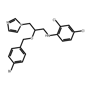 Clc1ccc(NCC(Cn2ccnc2)OCc2ccc(Br)cc2)c(Cl)c1